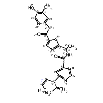 C=C(C)N(/C=C\C)c1cc(C(=O)N[C@H](C)c2ncc(C(=O)Nc3cc(C(F)(F)F)c(O)cn3)s2)ncn1